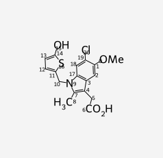 COc1cc2c(CC(=O)O)c(C)n(Cc3ccc(O)s3)c2cc1Cl